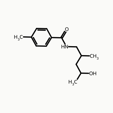 Cc1ccc(C(=O)NCC(C)CC(C)O)cc1